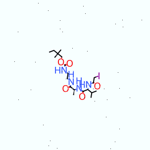 CCC(C)(C)COC(=O)NCCNC(=O)[C@H](C)NC(=O)[C@@H](NC(=O)CI)C(C)C